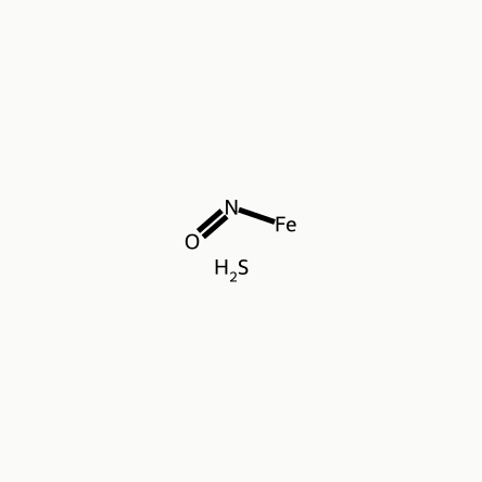 O=[N][Fe].S